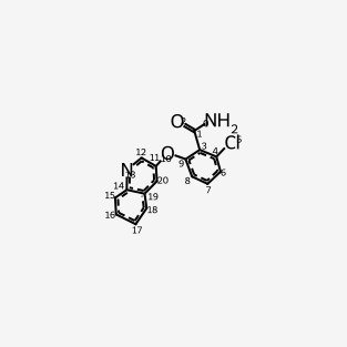 NC(=O)c1c(Cl)cccc1Oc1cnc2ccccc2c1